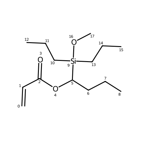 C=CC(=O)OC(CCC)[Si](CCC)(CCC)OC